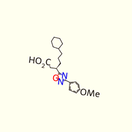 COc1ccc(-c2noc([C@H](CCCC3CCCCC3)CC(=O)O)n2)cc1